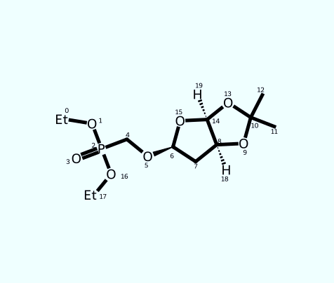 CCOP(=O)(CO[C@@H]1C[C@@H]2OC(C)(C)O[C@@H]2O1)OCC